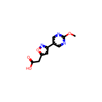 COc1ncc(-c2cc(CC(=O)O)on2)cn1